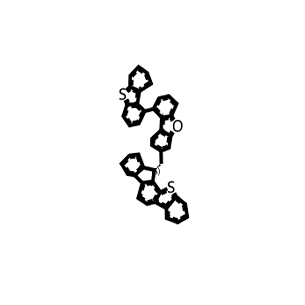 c1ccc2c(c1)-c1ccc3c(sc4ccccc43)c1[C@H]2Cc1ccc2c(c1)oc1cccc(-c3cccc4sc5ccccc5c34)c12